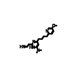 COc1ccc(CCCCC2=N/C(=C/C=N)NC(N(C)C)=C2)nc1